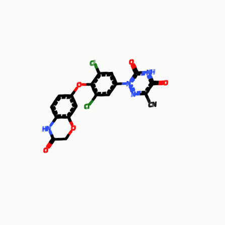 N#Cc1nn(-c2cc(Cl)c(Oc3ccc4c(c3)OCC(=O)N4)c(Cl)c2)c(=O)[nH]c1=O